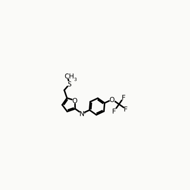 CSCc1ccc([N]c2ccc(OC(F)(F)F)cc2)o1